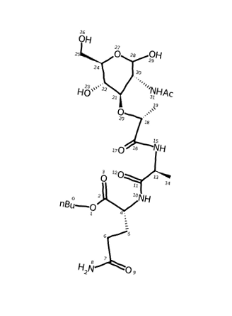 CCCCOC(=O)[C@@H](CCC(N)=O)NC(=O)[C@H](C)NC(=O)[C@@H](C)O[C@H]1[C@H](O)[C@@H](CO)OC(O)[C@@H]1NC(C)=O